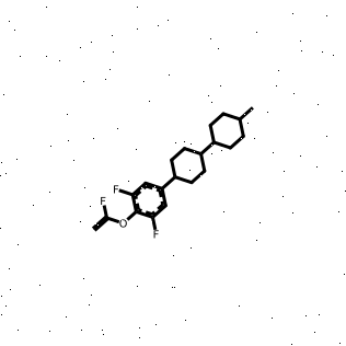 C=C(F)Oc1c(F)cc(C2CCC(C3CCC(C)CC3)CC2)cc1F